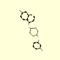 Cc1cccc(NC2CCC(Nc3ccnc4cc(Cl)ccc34)CC2)c1